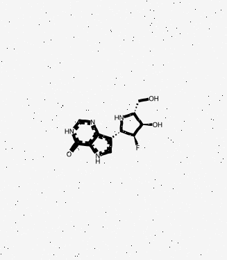 O=c1[nH]cnc2c([C@@H]3N[C@H](CO)[C@@H](O)[C@H]3F)c[nH]c12